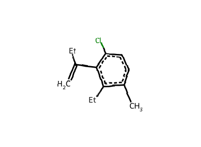 C=C(CC)c1c(Cl)ccc(C)c1CC